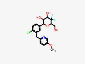 COc1ccc(Cc2cc(C3OC(CO)C(F)(F)C(O)C3O)ccc2Cl)nc1